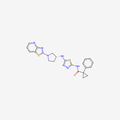 O=C(Nc1nnc(N[C@@H]2CCN(c3nc4ncccc4s3)C2)s1)C1(c2ccccc2)CC1